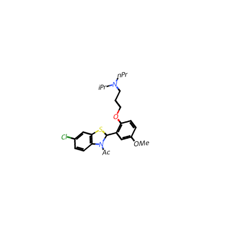 CCCN(CCCOc1ccc(OC)cc1C1Sc2cc(Cl)ccc2N1C(C)=O)C(C)C